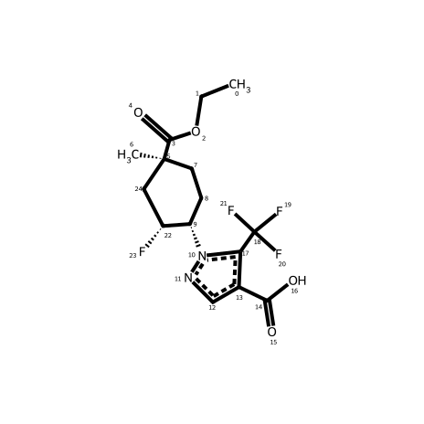 CCOC(=O)[C@@]1(C)CC[C@H](n2ncc(C(=O)O)c2C(F)(F)F)[C@H](F)C1